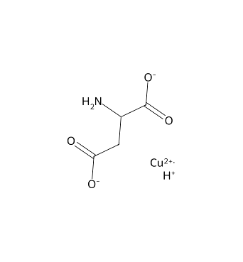 NC(CC(=O)[O-])C(=O)[O-].[Cu+2].[H+]